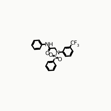 O=C(CN(c1cccc(C(F)(F)F)c1)S(=O)(=O)c1ccccc1)Nc1ccccc1